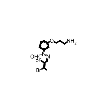 C/C(Br)=C(Br)\C=N/N(C=O)c1cccc(OCCCN)c1